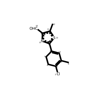 CC1=C(Cl)CCC(c2nc(C=O)c(C)s2)=C1